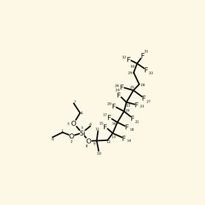 CCO[Si](C)(OCC)OC(C)(C)CC(F)(F)C(F)(F)C(F)(F)C(F)(F)C(F)(F)CCC(F)(F)F